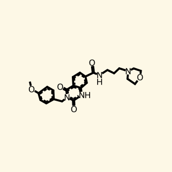 COc1ccc(Cn2c(=O)[nH]c3cc(C(=O)NCCCN4CCOCC4)ccc3c2=O)cc1